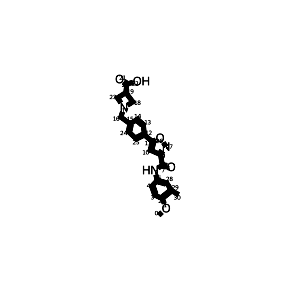 COc1ccc(NC(=O)c2cc(-c3ccc(CN4CC(C(=O)O)C4)cc3)on2)cc1C